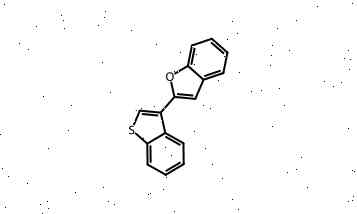 [c]1sc2ccccc2c1-c1cc2ccccc2o1